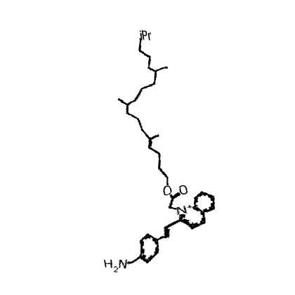 C/C(=C\CCCOC(=O)C[n+]1c(/C=C/c2ccc(N)cc2)ccc2ccccc21)CCCC(C)CCCC(C)CCCC(C)C